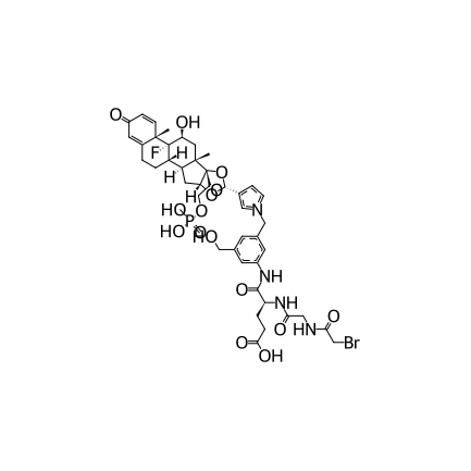 C[C@]12C=CC(=O)C=C1CC[C@H]1[C@@H]3C[C@H]4O[C@@H](c5ccn(Cc6cc(CO)cc(NC(=O)[C@H](CCC(=O)O)NC(=O)CNC(=O)CBr)c6)c5)O[C@@]4(C(=O)COP(=O)(O)O)[C@@]3(C)C[C@H](O)[C@@]12F